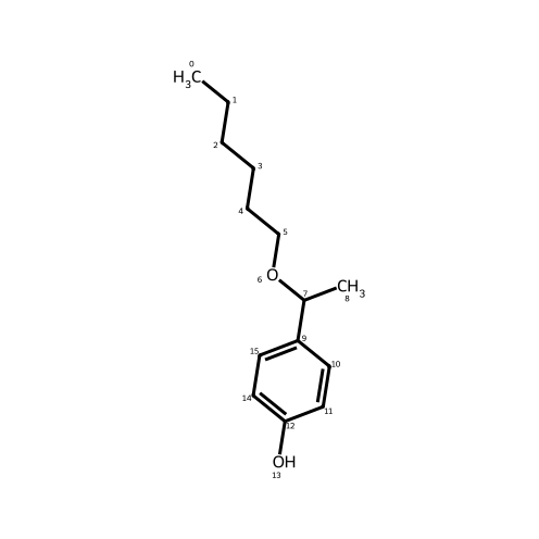 CCCCCCOC(C)c1ccc(O)cc1